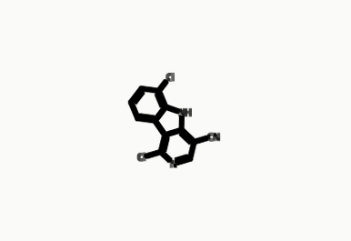 N#Cc1cnc(Cl)c2c1[nH]c1c(Cl)cccc12